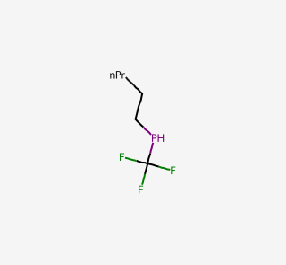 CCCCCPC(F)(F)F